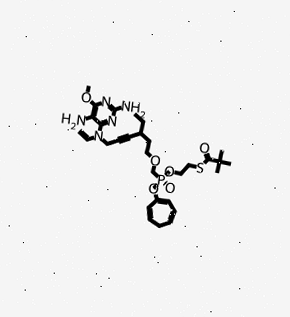 C=CN(CC#CC(CC)CCOCP(=O)(OCCSC(=O)C(C)(C)C)OC1=CC=CCC=C1)c1nc(N)nc(OC)c1N